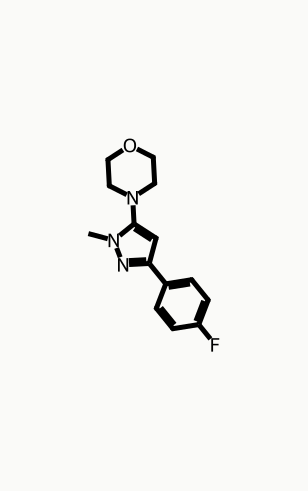 Cn1nc(-c2ccc(F)cc2)cc1N1CCOCC1